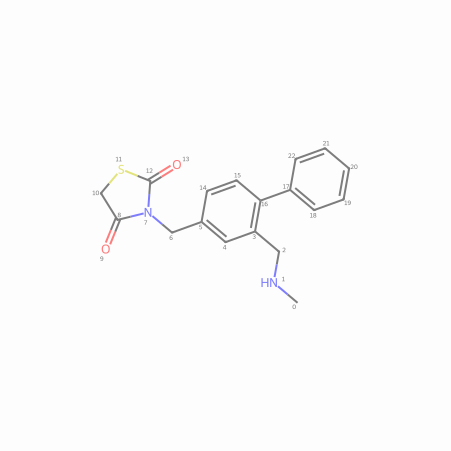 CNCc1cc(CN2C(=O)CSC2=O)ccc1-c1ccccc1